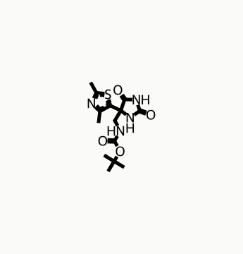 Cc1nc(C)c(C2(CNC(=O)OC(C)(C)C)NC(=O)NC2=O)s1